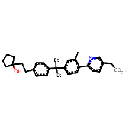 CCC(CC)(c1ccc(CCC2(O)CCCC2)cc1)c1ccc(-c2ccc(CC(=O)O)cn2)c(C)c1